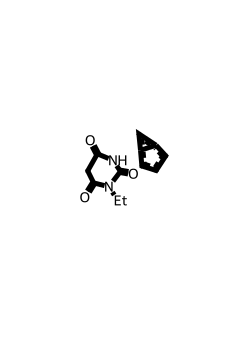 CCN1C(=O)CC(=O)NC1=O.c1cc2cc-2c1